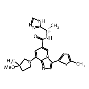 COC1(C)CCN(c2cc(C(=O)N[C@@H](C)c3nnc[nH]3)cn3c(-c4ccc(C)s4)cnc23)C1